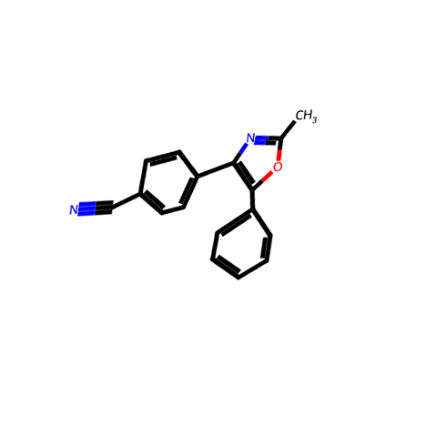 Cc1nc(-c2ccc(C#N)cc2)c(-c2ccccc2)o1